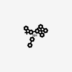 Cc1cccc2c1C1(c3ccccc3-c3cc(-c4cc5c(cc4Nc4ccc(-c6ccccc6)cc4)C(C)(C)c4ccccc4-5)ccc31)c1ccccc1-2